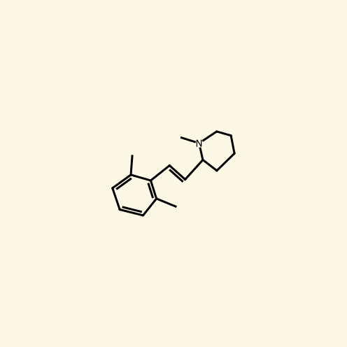 Cc1cccc(C)c1/C=C/C1CCCCN1C